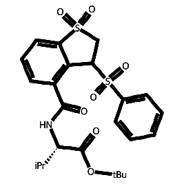 CC(C)[C@H](NC(=O)c1cccc2c1C(S(=O)(=O)c1ccccc1)CS2(=O)=O)C(=O)OC(C)(C)C